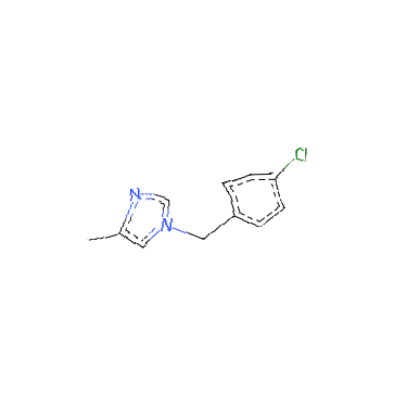 Cc1cn(Cc2ccc(Cl)cc2)cn1